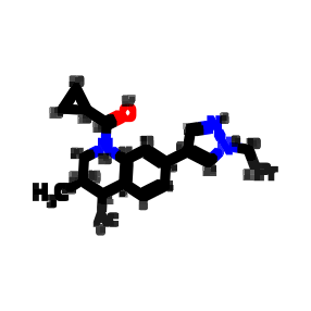 CC(=O)C1c2ccc(-c3cnn(CC(C)C)c3)cc2N(C(=O)C2CC2)C[C@@H]1C